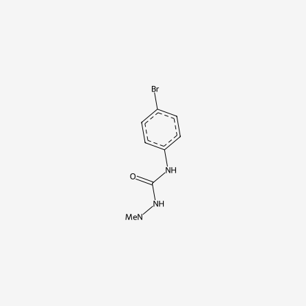 CNNC(=O)Nc1ccc(Br)cc1